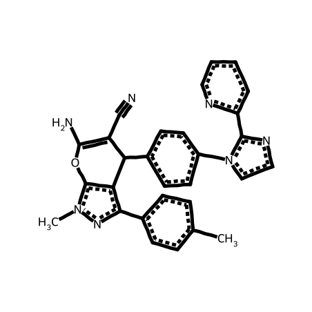 Cc1ccc(-c2nn(C)c3c2C(c2ccc(-n4ccnc4-c4ccccn4)cc2)C(C#N)=C(N)O3)cc1